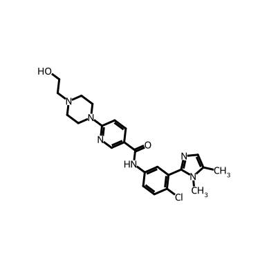 Cc1cnc(-c2cc(NC(=O)c3ccc(N4CCN(CCO)CC4)nc3)ccc2Cl)n1C